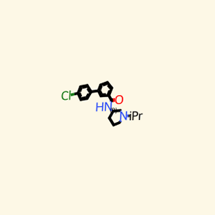 CC(C)N1CCC[C@@H](NC(=O)c2cccc(-c3ccc(Cl)cc3)c2)C1